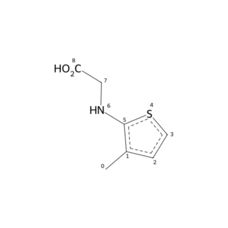 Cc1ccsc1NCC(=O)O